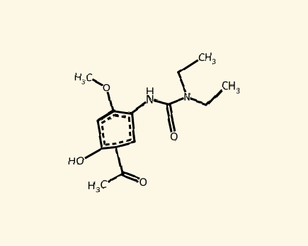 CCN(CC)C(=O)Nc1cc(C(C)=O)c(O)cc1OC